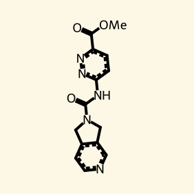 COC(=O)c1ccc(NC(=O)N2Cc3ccncc3C2)nn1